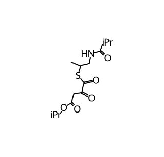 CC(C)OC(=O)CC(=O)C(=O)SC(C)CNC(=O)C(C)C